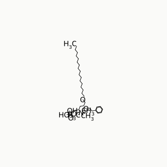 CCCCCCCCCCCCCCCCCCOCC(CC(COP(=O)(O)O)[N+](C)(C)C)OCCc1ccccc1